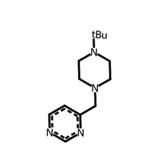 CC(C)(C)N1CCN(Cc2ccncn2)CC1